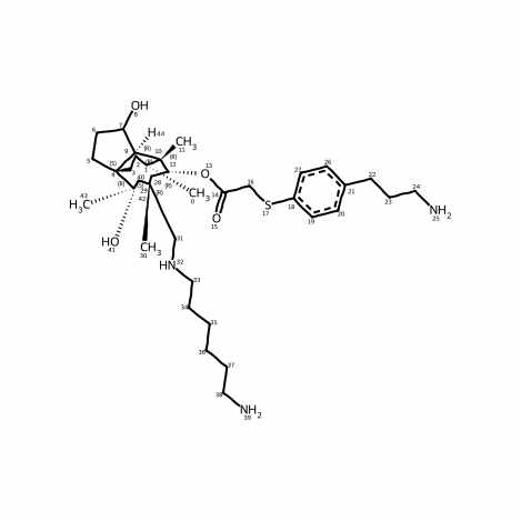 C[C@@H]1CC[C@@]23CCC(O)[C@H]2[C@]1(C)[C@H](OC(=O)CSc1ccc(CCCN)cc1)C[C@](C)(CNCCCCCCN)[C@@H](O)[C@@H]3C